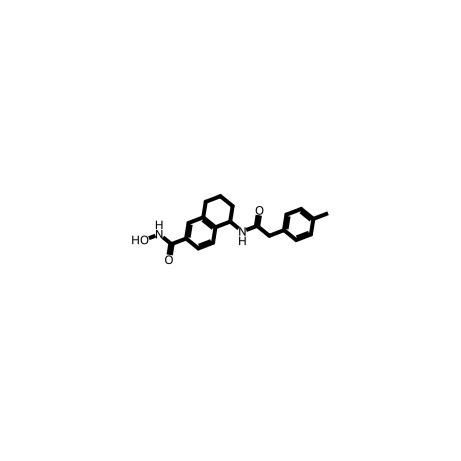 Cc1ccc(CC(=O)NC2CCCc3cc(C(=O)NO)ccc32)cc1